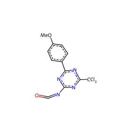 COc1ccc(-c2nc(N=C=O)nc(C(Cl)(Cl)Cl)n2)cc1